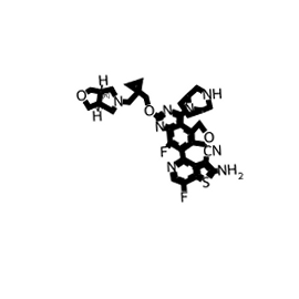 N#Cc1c(N)sc2c(F)cnc(-c3c4c(c5c(N6C7CCC6CNC7)nc(OCC6(CN7C[C@H]8COC[C@H]8C7)CC6)nc5c3F)COC4)c12